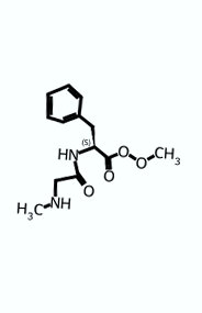 CNCC(=O)N[C@@H](Cc1ccccc1)C(=O)OOC